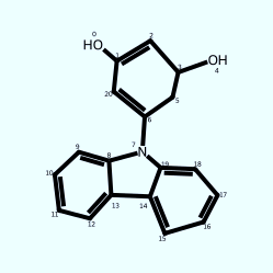 OC1=CC(O)CC(n2c3ccccc3c3ccccc32)=C1